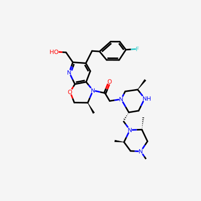 C[C@@H]1CN(CC(=O)N2c3cc(Cc4ccc(F)cc4)c(CO)nc3OC[C@@H]2C)[C@@H](CN2[C@H](C)CN(C)C[C@H]2C)CN1